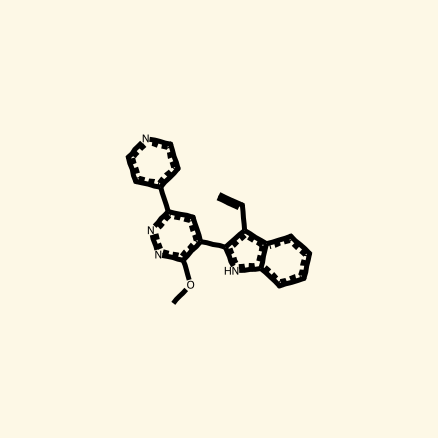 C=Cc1c(-c2cc(-c3ccncc3)nnc2OC)[nH]c2ccccc12